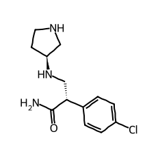 NC(=O)[C@H](CN[C@H]1CCNC1)c1ccc(Cl)cc1